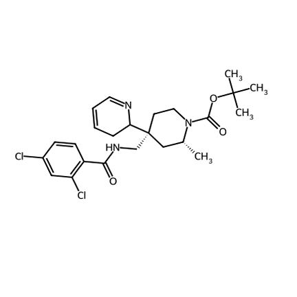 C[C@@H]1C[C@@](CNC(=O)c2ccc(Cl)cc2Cl)(C2CC=CC=N2)CCN1C(=O)OC(C)(C)C